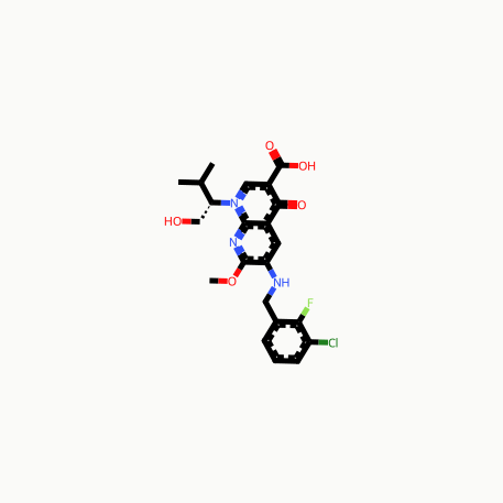 COc1nc2c(cc1NCc1cccc(Cl)c1F)c(=O)c(C(=O)O)cn2[C@H](CO)C(C)C